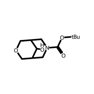 CC(C)(C)OC(=O)N1CC2COCC(C1)C2O